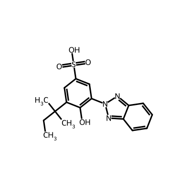 CCC(C)(C)c1cc(S(=O)(=O)O)cc(-n2nc3ccccc3n2)c1O